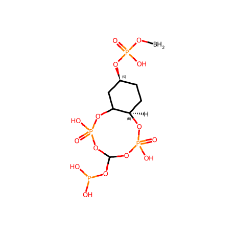 BOP(=O)(O)O[C@H]1CC[C@H]2OP(=O)(O)OC(OP(O)O)OP(=O)(O)OC2C1